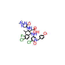 COc1ccc(Cn2cc(NC(c3ccc(Cl)c(F)c3)c3c(C(=O)O)nn(-c4cnc(N(C)C)nc4OC)c3C(C)C)cc(Cl)c2=O)cc1